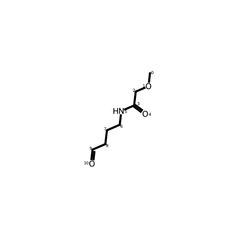 COCC(=O)NCCCC=O